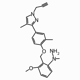 C#CCn1cc(C)c(-c2ccc(OCc3c(OC)cccc3N(C)N)c(C)c2)n1